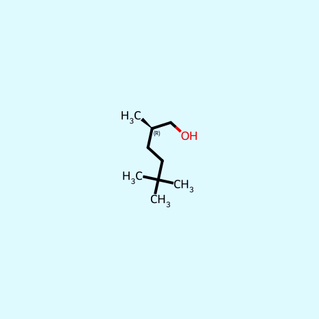 C[C@@H](CO)CCC(C)(C)C